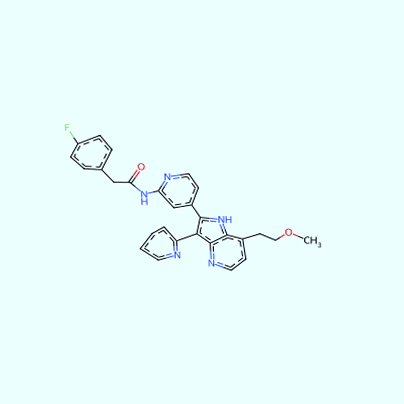 COCCc1ccnc2c(-c3ccccn3)c(-c3ccnc(NC(=O)Cc4ccc(F)cc4)c3)[nH]c12